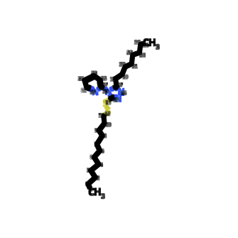 CCCCCCCCCCCCSSc1nnc(CCCCCCCC)n1-c1ccccn1